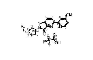 N#Cc1ccnc(-c2ccc3c(n2)C(=O)N([C@H]2CN[C@H](CF)C2)C3)c1.O=C(O)C(F)(F)F